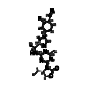 CC[C@H]1COC(=O)N1c1nc(C)nc(N[C@@H](C)c2cn(-c3ccc(C#N)c(F)c3)cn2)n1